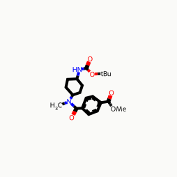 COC(=O)c1ccc(C(=O)N(C)C2CCC(NC(=O)OC(C)(C)C)CC2)cc1